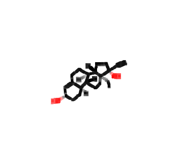 C#C[C@]1(O)C=C[C@H]2[C@@H]3CCC4=C[C@@H](O)CC[C@@H]4[C@H]3CC[C@@]21CC